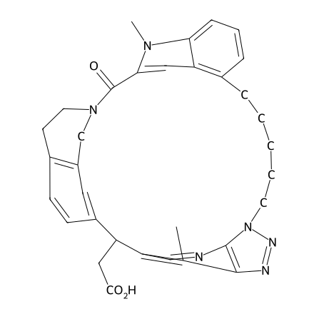 Cc1c2cnc3c1nnn3CCCCCc1cccc3c1cc(n3C)C(=O)N1CCc3ccc(cc3C1)C2CC(=O)O